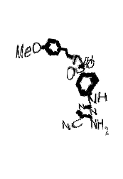 COc1ccc(CCNS(=O)(=O)c2ccc(Nc3ncc(C#N)c(N)n3)cc2)cc1